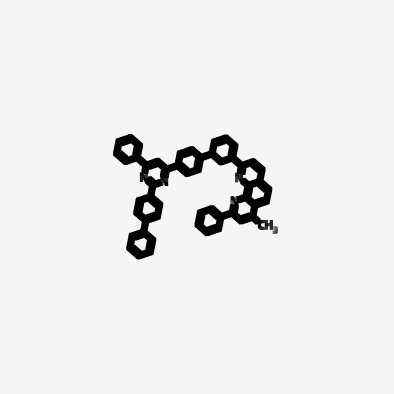 Cc1cc(-c2ccccc2)nc2c1ccc1ccc(C3=CC=CC(c4ccc(-c5cc(-c6ccccc6)nc(-c6ccc(-c7ccccc7)cc6)n5)cc4)C3)nc12